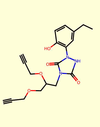 C#CCOCC(Cn1c(=O)[nH]n(-c2cc(CC)ccc2O)c1=O)OCC#C